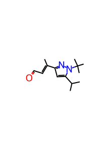 CC(=CC=O)c1cc(C(C)C)n(C(C)(C)C)n1